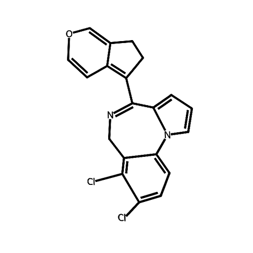 Clc1ccc2c(c1Cl)CN=C(C1=C3C=COC=C3CC1)c1cccn1-2